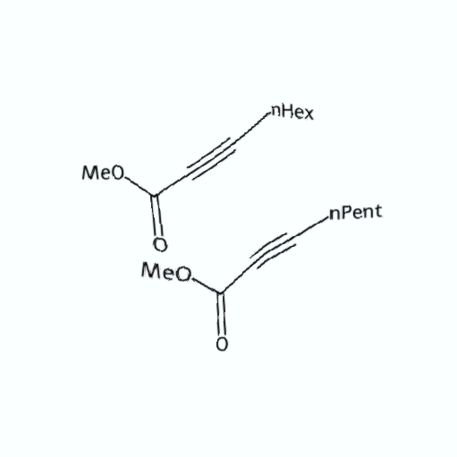 CCCCCC#CC(=O)OC.CCCCCCC#CC(=O)OC